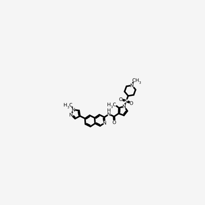 Cc1c(C(=O)Nc2cc3cc(-c4cnn(C)c4)ccc3cn2)ccn1S(=O)(=O)C1CCN(C)CC1